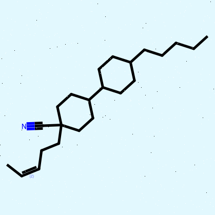 C/C=C\CCC1(C#N)CCC(C2CCC(CCCCC)CC2)CC1